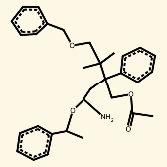 CC(=O)OCC(CC(N)OC(C)c1ccccc1)(c1ccccc1)C(C)(C)COCc1ccccc1